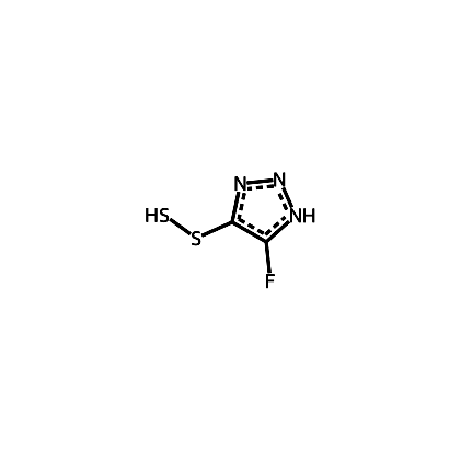 Fc1[nH]nnc1SS